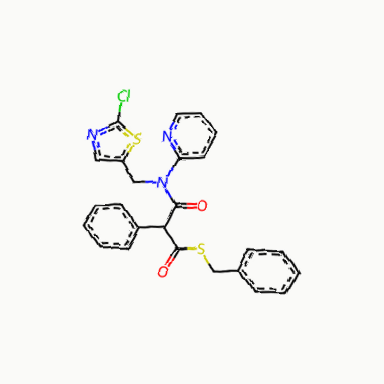 O=C(SCc1ccccc1)C(C(=O)N(Cc1cnc(Cl)s1)c1ccccn1)c1ccccc1